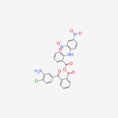 Nc1cc(C(=O)c2ccccc2C(=O)OC(=O)c2ccccc2Nc2ccc([N+](=O)[O-])cc2[N+](=O)[O-])ccc1Cl